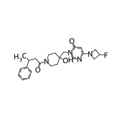 CC(CC(=O)N1CCC(O)(Cn2cnc(N3CC(F)C3)cc2=O)CC1)c1ccccc1